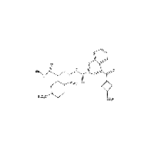 CCOC(=O)N1CCN(C(=O)[C@H](CCC(=O)OC(C)(C)C)NC(=O)c2cc(C(=O)N3CC(C(=O)O)C3)c3ccccc3n2)CC1